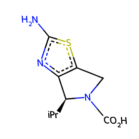 CC(C)[C@H]1c2nc(N)sc2CN1C(=O)O